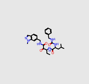 CCC(NC(=O)C(CC(C)C)NC(=O)NCc1ccccc1)C(=O)C(=O)NCc1ccc2cnn(C)c2c1